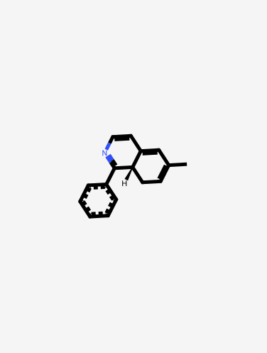 CC1=CC[C@H]2C(=C1)C=CN=C2c1ccccc1